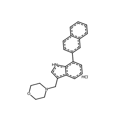 Cl.c1ccc2cc(-c3cccc4c(CN5CCOCC5)c[nH]c34)ccc2c1